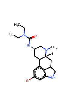 CCN(CC)C(=O)N[C@H]1CC2c3cc(Br)cc4c3C(CN4)C[C@H]2N(C)C1